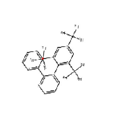 [2H]C([2H])([2H])c1cc(C([2H])([2H])[2H])c(-c2cccnc2-c2ccccc2)c(C([2H])([2H])[2H])c1